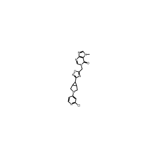 Cn1cnc2ncn(Cc3nc(C4C5CN(c6ccnc(Cl)c6)CC54)no3)c(=O)c21